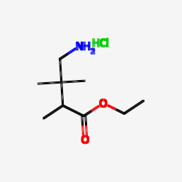 CCOC(=O)C(C)C(C)(C)CN.Cl